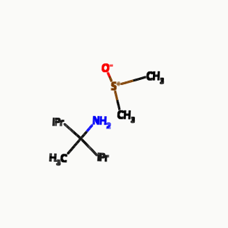 CC(C)C(C)(N)C(C)C.C[S+](C)[O-]